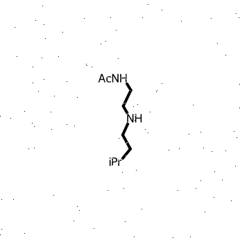 CC(=O)NCCNCCC(C)C